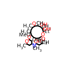 C#CCCN(C)[C@H]1C[C@@H](C)O[C@@H](O[C@@H]2C[C@H](O)[C@@H](C)C(=O)O[C@H](CC)[C@@](C)(O)[C@H](O)[C@@H](C)C(=O)[C@H](C)C[C@@]2(C)OC)[C@@H]1OC(C)=O